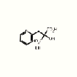 O=C(O)C(O)(Cc1ccccn1)C(=O)O.[LiH]